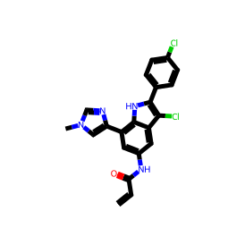 C=CC(=O)Nc1cc(-c2cn(C)cn2)c2[nH]c(-c3ccc(Cl)cc3)c(Cl)c2c1